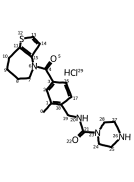 Cc1cc(C(=O)N2CCCCc3sccc32)ccc1CNC(=O)N1CCNCC1.Cl